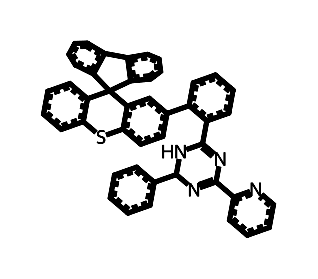 c1ccc(C2N=C(c3ccccn3)N=C(c3ccccc3-c3ccc4c(c3)C3(c5ccccc5S4)c4ccccc4-c4ccccc43)N2)cc1